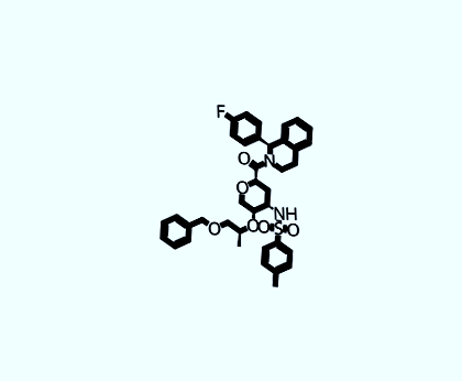 Cc1ccc(S(=O)(=O)N[C@H]2C[C@H](C(=O)N3CCc4ccccc4[C@@H]3c3ccc(F)cc3)OC[C@@H]2O[C@@H](C)COCc2ccccc2)cc1